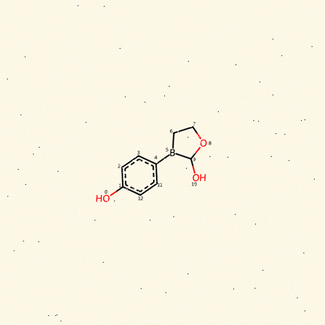 Oc1ccc(B2CCOC2O)cc1